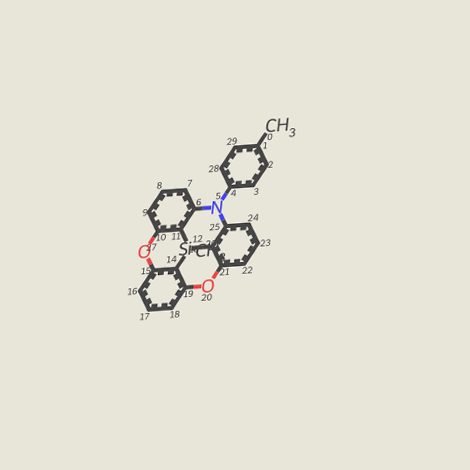 Cc1ccc(N2c3cccc4c3[Si]3(C)c5c(cccc5Oc5cccc2c53)O4)cc1